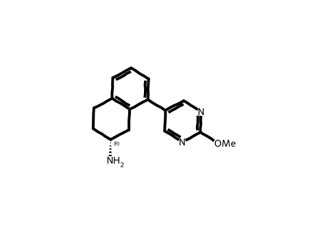 COc1ncc(-c2cccc3c2C[C@H](N)CC3)cn1